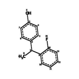 [CH2]C(c1ccc(O)cc1)c1ccccc1F